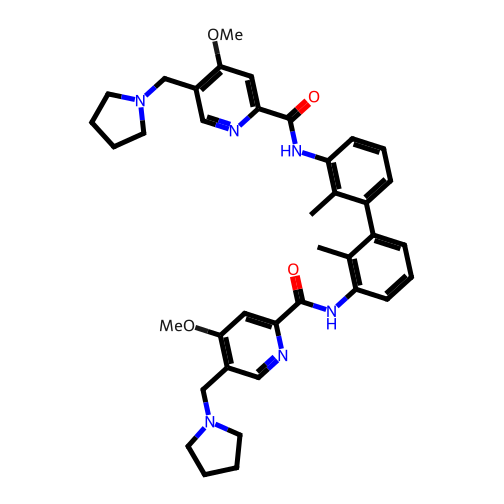 COc1cc(C(=O)Nc2cccc(-c3cccc(NC(=O)c4cc(OC)c(CN5CCCC5)cn4)c3C)c2C)ncc1CN1CCCC1